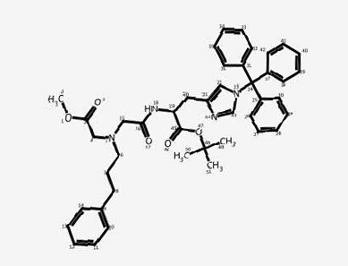 COC(=O)CN(CCCc1ccccc1)CC(=O)NC(Cc1cn(C(c2ccccc2)(c2ccccc2)c2ccccc2)cn1)C(=O)OC(C)(C)C